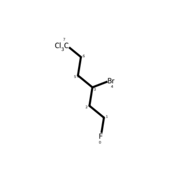 FCCC(Br)[CH]CC(Cl)(Cl)Cl